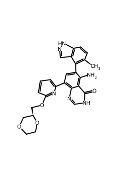 Cc1ccc2[nH]ncc2c1-c1cc(-c2cccc(OC[C@@H]3COCCO3)n2)c2nc[nH]c(=O)c2c1N